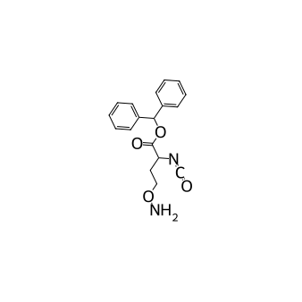 NOCCC(N=C=O)C(=O)OC(c1ccccc1)c1ccccc1